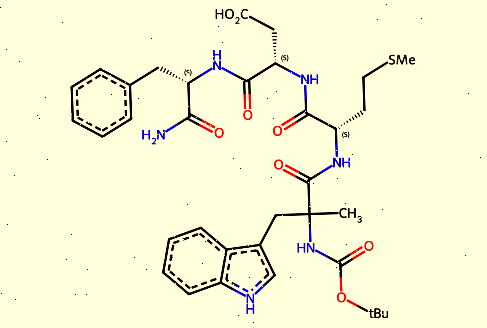 CSCC[C@H](NC(=O)C(C)(Cc1c[nH]c2ccccc12)NC(=O)OC(C)(C)C)C(=O)N[C@@H](CC(=O)O)C(=O)N[C@@H](Cc1ccccc1)C(N)=O